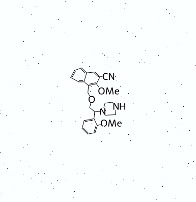 COc1ccccc1C(COCc1c(OC)c(C#N)cc2ccccc12)N1CCNCC1